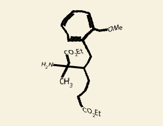 CCOC(=O)CCC(Cc1ccccc1OC)C(C)(N)C(=O)OCC